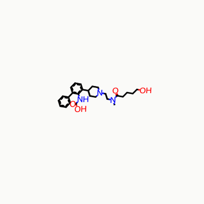 CN(CCN1CCC(c2cccc(-c3ccccc3)c2NC(=O)O)CC1)C(=O)CCCCO